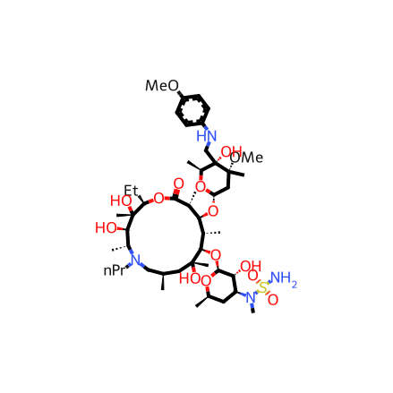 CCCN1C[C@H](C)C[C@@](C)(O)[C@H](O[C@@H]2O[C@H](C)C[C@H](N(C)S(N)(=O)=O)[C@H]2O)[C@@H](C)[C@H](O[C@H]2C[C@@](C)(OC)[C@](O)(CNc3ccc(OC)cc3)[C@H](C)O2)[C@@H](C)C(=O)O[C@H](CC)[C@@](C)(O)[C@H](O)[C@H]1C